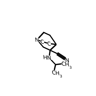 CC(C)NC1(C#N)CN2CCC1CC2